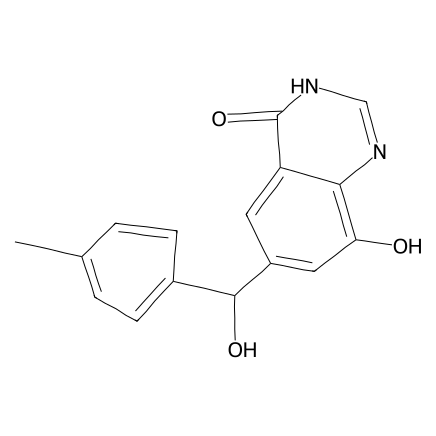 Cc1ccc(C(O)c2cc(O)c3nc[nH]c(=O)c3c2)cc1